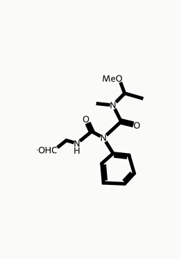 COC(C)N(C)C(=O)N(C(=O)NC[C]=O)c1ccccc1